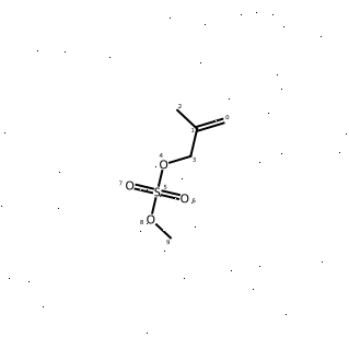 C=C(C)COS(=O)(=O)OC